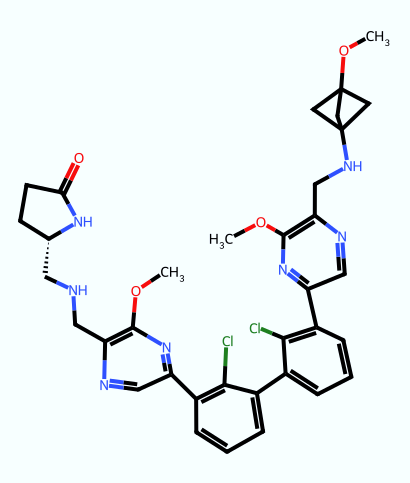 COc1nc(-c2cccc(-c3cccc(-c4cnc(CNC56CC(OC)(C5)C6)c(OC)n4)c3Cl)c2Cl)cnc1CNC[C@@H]1CCC(=O)N1